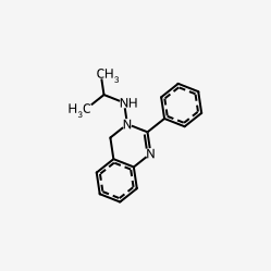 CC(C)NN1Cc2ccccc2N=C1c1ccccc1